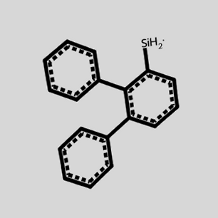 [SiH2]c1cccc(-c2ccccc2)c1-c1ccccc1